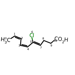 C\C=C/C=C\C(Cl)=C\CCC(=O)O